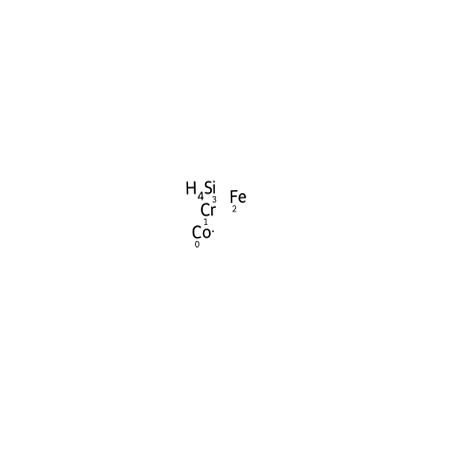 [Co].[Cr].[Fe].[SiH4]